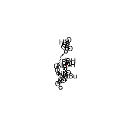 CC(C)(C)[C@H](NC(=O)c1cc2cc(C(F)(F)P(=O)(O)O)ccc2s1)C(=O)N1Cc2cc(OCC(=O)NCCCCCC#Cc3ccc4c(c3)C(=O)N(C3CCC(=O)NC3=O)C4=O)ccc2C[C@H]1C(=O)N1CCO[C@H](c2ccccc2)C1